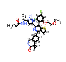 C=CC(=O)NC(C)c1cc(-c2nc(-c3ccc4c(c3)CNC(=O)C43CC3)c3ccsc3c2-c2c(F)cc(F)cc2OCCOC)n[nH]1